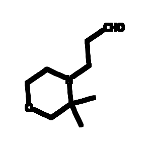 CC1(C)COCCN1CCC=O